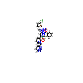 O=C(c1ccccc1Cl)n1nc(-c2cccn(Cc3cccnn3)c2=O)cc1NCc1ccc(Cl)s1